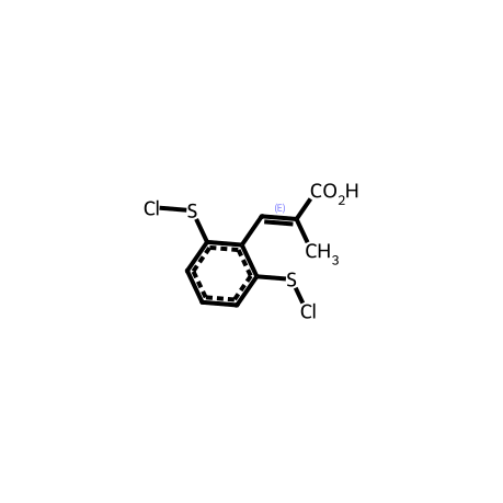 C/C(=C\c1c(SCl)cccc1SCl)C(=O)O